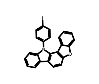 Ic1ccc(-n2c3ccccc3c3ccc4oc5ccccc5c4c32)cc1